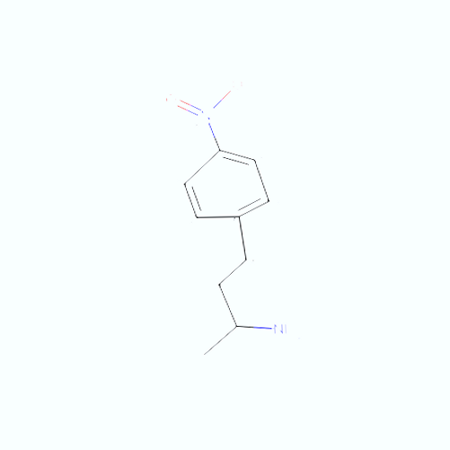 CC(N)CCc1ccc([N+](=O)[O-])cc1